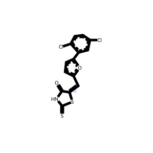 O=C1NC(=S)S/C1=C/c1ccc(-c2cc(Cl)ccc2Cl)o1